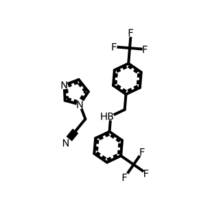 FC(F)(F)c1ccc(CBc2cccc(C(F)(F)F)c2)cc1.N#CCn1ccnc1